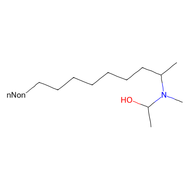 CCCCCCCCCCCCCCCCC(C)N(C)C(C)O